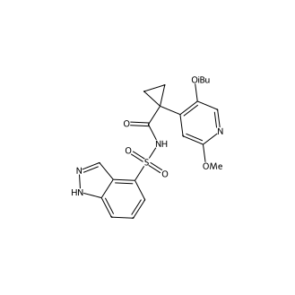 COc1cc(C2(C(=O)NS(=O)(=O)c3cccc4[nH]ncc34)CC2)c(OCC(C)C)cn1